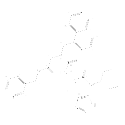 CC(C)C[C@@H](CO)NC(=O)[C@H](Cc1c[nH]cn1)NC(=O)C(CC(=O)NCc1ccccc1)Cc1cccc2ccccc12